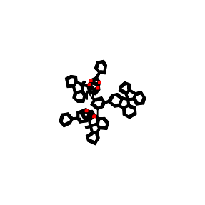 CC1(c2ccccc2)c2ccccc2-c2cccc(N(c3ccc(-c4ccccc4)cc3)c3cc(-c4ccc5c(c4)-c4ccccc4C54c5ccccc5-c5ccccc54)cc(N(c4ccc(-c5ccccc5)cc4)c4cccc5c4C(C)(c4ccccc4)c4ccccc4-5)c3)c21